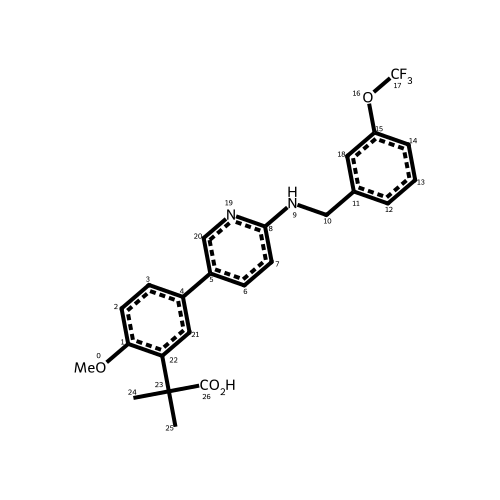 COc1ccc(-c2ccc(NCc3cccc(OC(F)(F)F)c3)nc2)cc1C(C)(C)C(=O)O